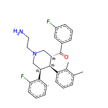 Cc1cccc([C@@H]2[C@@H](C(=O)c3cccc(F)c3)CN(CCN)C[C@@H]2c2[c]cccc2F)c1C